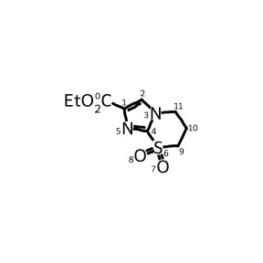 CCOC(=O)c1cn2c(n1)S(=O)(=O)CCC2